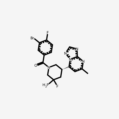 Cc1cc([C@H]2CN(C(=O)c3ccc(F)c(Br)c3)CC(F)(P)C2)n2ncnc2n1